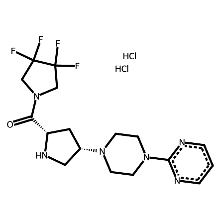 Cl.Cl.O=C([C@@H]1C[C@H](N2CCN(c3ncccn3)CC2)CN1)N1CC(F)(F)C(F)(F)C1